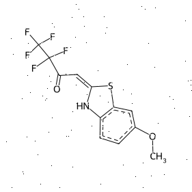 COc1ccc2c(c1)S/C(=C/C(=O)C(F)(F)C(F)(F)F)N2